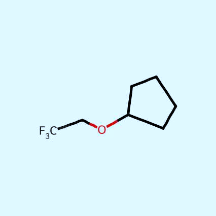 FC(F)(F)COC1CCCC1